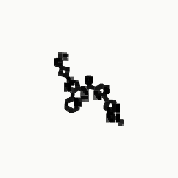 CCOC1CC(n2cc(NC(=O)c3csc(-c4cnn(N)c4)n3)c(-c3ccccn3)n2)C1